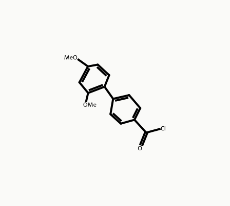 COc1ccc(-c2ccc(C(=O)Cl)cc2)c(OC)c1